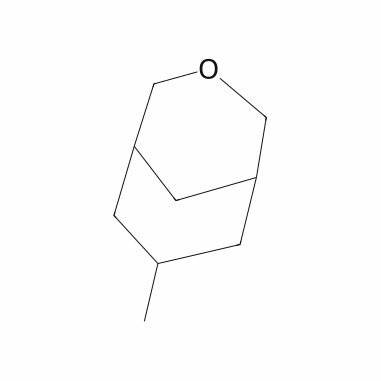 CC1CC2COCC(C1)C2